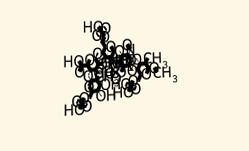 CO[C@H]1OC(COS(=O)(=O)O)[C@@H](O[C@@H]2O[C@@H](N=O)[C@@H](O[C@H]3OC(COS(=O)(=O)O)[C@@H](O[C@@H]4OC(C(=O)O)[C@@H](O[C@H]5OC(COS(=O)(=O)O)[C@@H](O)[C@H](O)C5C)[C@H](O)C4O)[C@H](C)C3N)C(O)C2OS(=O)(=O)O)[C@H](O)C1C